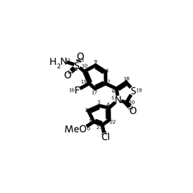 COc1ccc(-n2c(-c3ccc(S(N)(=O)=O)c(F)c3)csc2=O)cc1Cl